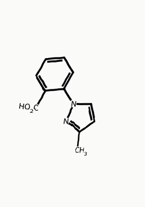 Cc1ccn(-c2ccccc2C(=O)O)n1